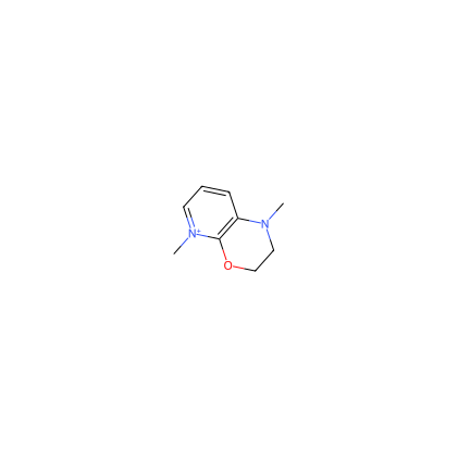 CN1CCOc2c1ccc[n+]2C